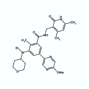 CCN(c1cc(-c2cnc(OC)cn2)cc(C(=O)NCc2c(C)cc(C)[nH]c2=O)c1C)C1CCOCC1